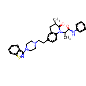 CC1Cc2cc(CCN3CCN(c4nsc5ccccc45)CC3)ccc2N(C(C)C(=O)Nc2ccccc2)C1=O